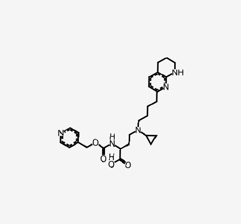 O=C(NC(CCN(CCCCc1ccc2c(n1)NCCC2)C1CC1)C(=O)O)OCc1ccncc1